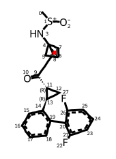 C[S+]([O-])NC12CC(C1)N(C(=O)[C@@H]1C[C@H]1c1ccccc1-c1c(F)cccc1F)C2